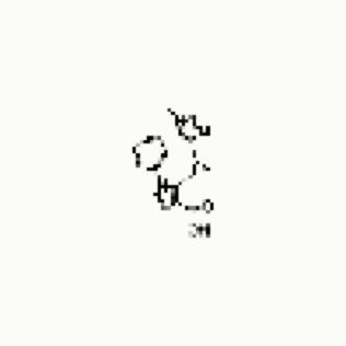 Cn1cc(C2CC2c2c(C(=O)O)cnn2-c2ccccc2)nn1